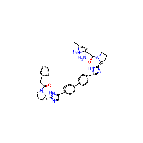 CC1=C[C@@](N)(CC(=O)N2CCC[C@H]2c2ncc(-c3ccc(-c4ccc(-c5cnc([C@@H]6CCCN6C(=O)Cc6ccccc6)[nH]5)cc4)cc3)[nH]2)N1